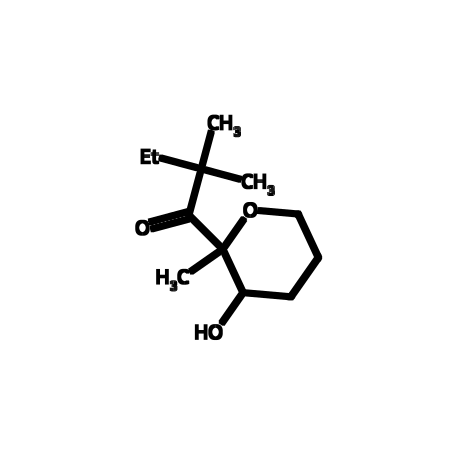 CCC(C)(C)C(=O)C1(C)OCCCC1O